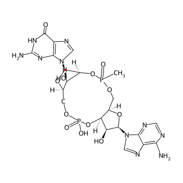 CP1(=O)OC[C@H]2O[C@@H](n3cnc4c(N)ncnc43)[C@@H](O)[C@H]2OP(=O)(O)OC[C@H]2O[C@@H](n3cnc4c(=O)[nH]c(N)nc43)[C@@H](O1)[C@H]2O